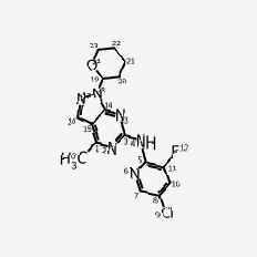 Cc1nc(Nc2ncc(Cl)cc2F)nc2c1cnn2C1CCCCO1